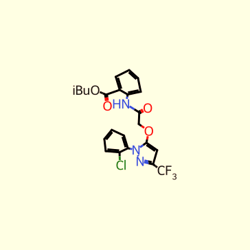 CC(C)COC(=O)c1ccccc1NC(=O)COc1cc(C(F)(F)F)nn1-c1ccccc1Cl